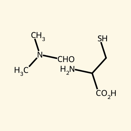 CN(C)C=O.NC(CS)C(=O)O